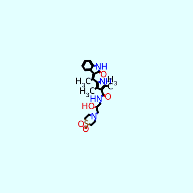 C/C(=C1/C(=O)Nc2ccccc21)c1[nH]c(C)c(C(=O)NCC(O)CN2CCS(=O)(=O)CC2)c1C